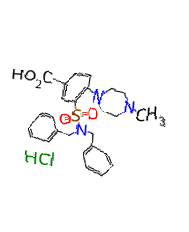 CN1CCN(c2ccc(C(=O)O)cc2S(=O)(=O)N(Cc2ccccc2)Cc2ccccc2)CC1.Cl